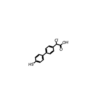 O=C(O)C(Cl)c1ccc(-c2ccc(S)cc2)cc1